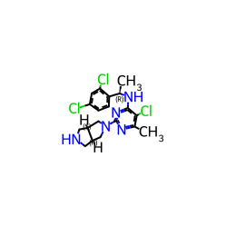 Cc1nc(N2C[C@H]3CNC[C@H]3C2)nc(N[C@H](C)c2ccc(Cl)cc2Cl)c1Cl